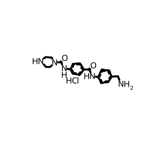 Cl.NCc1ccc(NC(=O)c2ccc(NC(=O)N3CCNCC3)cc2)cc1